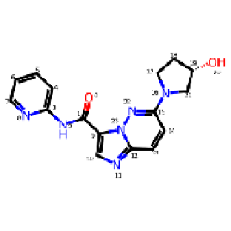 O=C(Nc1ccccn1)c1cnc2ccc(N3CC[C@H](O)C3)nn12